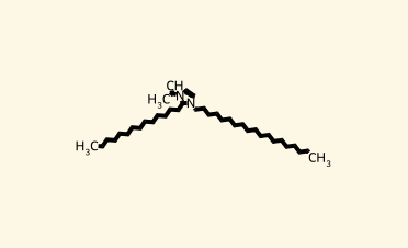 CCCCCCCCCCCCCCCCCCCN1C=CN(C(C)C)C1CCCCCCCCCCCCCC